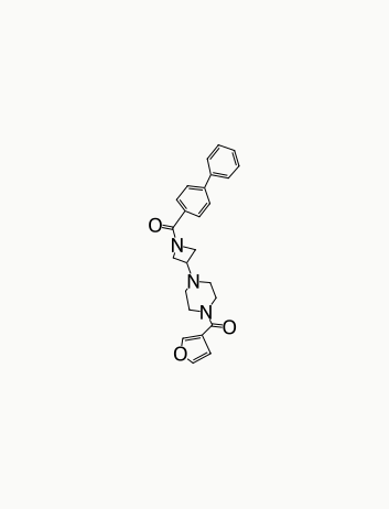 O=C(c1ccoc1)N1CCN(C2CN(C(=O)c3ccc(-c4ccccc4)cc3)C2)CC1